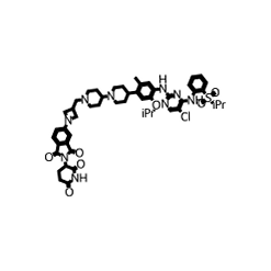 Cc1cc(Nc2ncc(Cl)c(Nc3ccccc3S(=O)(=O)C(C)C)n2)c(OC(C)C)cc1C1CCN(C2CCN(CC3CN(c4ccc5c(c4)C(=O)N(C4CCC(=O)NC4=O)C5=O)C3)CC2)CC1